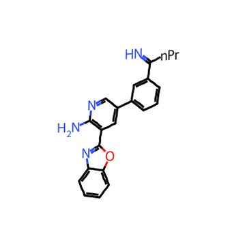 CCCC(=N)c1cccc(-c2cnc(N)c(-c3nc4ccccc4o3)c2)c1